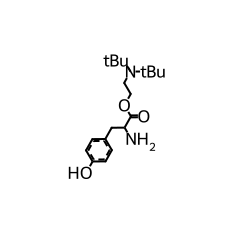 CC(C)(C)N(CCOC(=O)C(N)Cc1ccc(O)cc1)C(C)(C)C